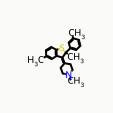 Cc1cccc(C2(C)Sc3ccc(C)cc3C2=C2CCN(C)CC2)c1